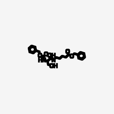 O=C(CCCCNC(=O)C(CO)NC(=O)OCc1ccccc1)OCc1ccccc1